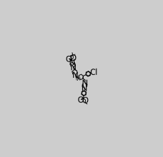 CCOC(=O)c1ccc(N2CCN(CC3=C(c4ccc(Cl)cc4)CC[C@@](C)(CN4CCC(N5CCN(C(=O)OC(C)(C)C)CC5)CC4)C3)CC2)cc1